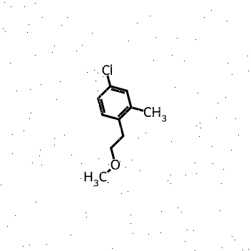 COCCc1ccc(Cl)cc1C